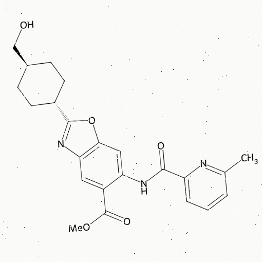 COC(=O)c1cc2nc([C@H]3CC[C@H](CO)CC3)oc2cc1NC(=O)c1cccc(C)n1